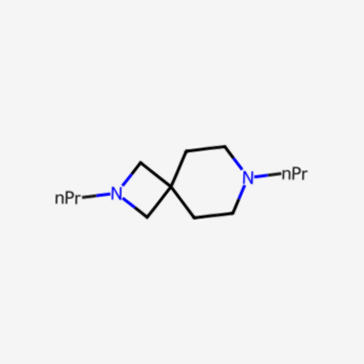 CCCN1CCC2(CC1)CN(CCC)C2